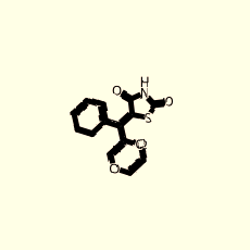 O=C1NC(=O)C(=C(C2=CC=CCC2)C2=COC=CO2)S1